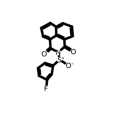 O=C1c2cccc3cccc(c23)C(=O)N1[S+]([O-])c1cccc(F)c1